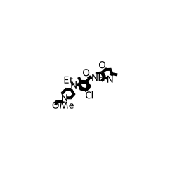 CCN(c1cc(Cl)cc(C(=O)NCC2=C(C)N=C(C)CC2=O)c1C)C1CCN(CCOC)CC1